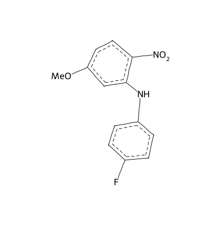 COc1ccc([N+](=O)[O-])c(Nc2ccc(F)cc2)c1